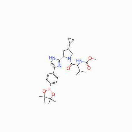 COC(=O)N[C@H](C(=O)N1CC(C2CC2)C[C@H]1c1nc(-c2ccc(B3OC(C)(C)C(C)(C)O3)cc2)c[nH]1)C(C)C